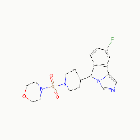 O=S(=O)(N1CCOCC1)N1CCC(C2c3ccc(F)cc3-c3cncn32)CC1